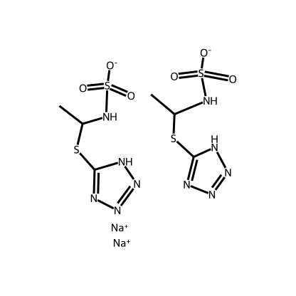 CC(NS(=O)(=O)[O-])Sc1nnn[nH]1.CC(NS(=O)(=O)[O-])Sc1nnn[nH]1.[Na+].[Na+]